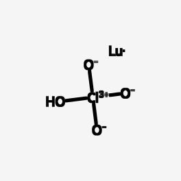 [Lu].[O-][Cl+3]([O-])([O-])O